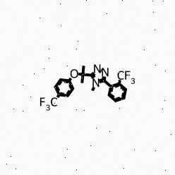 Cn1c(-c2ccccc2C(F)(F)F)nnc1C(C)(C)Oc1ccc(C(F)(F)F)cc1